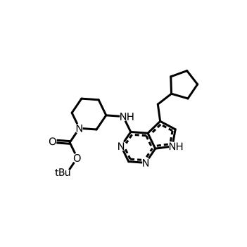 CC(C)(C)OC(=O)N1CCCC(Nc2ncnc3[nH]cc(CC4CCCC4)c23)C1